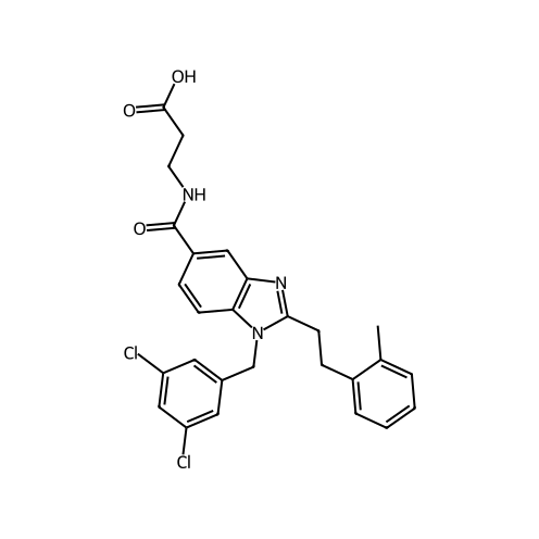 Cc1ccccc1CCc1nc2cc(C(=O)NCCC(=O)O)ccc2n1Cc1cc(Cl)cc(Cl)c1